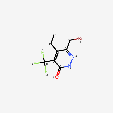 CCc1c(CBr)n[nH]c(=O)c1C(F)(F)F